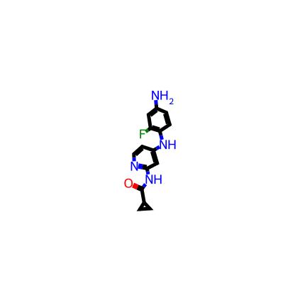 Nc1ccc(Nc2ccnc(NC(=O)C3CC3)c2)c(F)c1